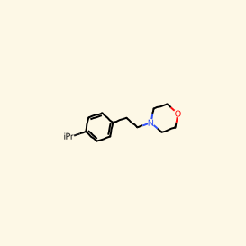 CC(C)c1ccc(CCN2CCOCC2)cc1